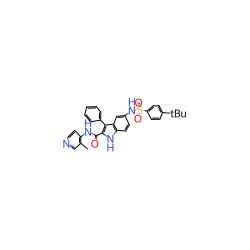 Cc1cnccc1NC(=O)c1[nH]c2ccc(NS(=O)(=O)c3ccc(C(C)(C)C)cc3)cc2c1-c1ccccc1